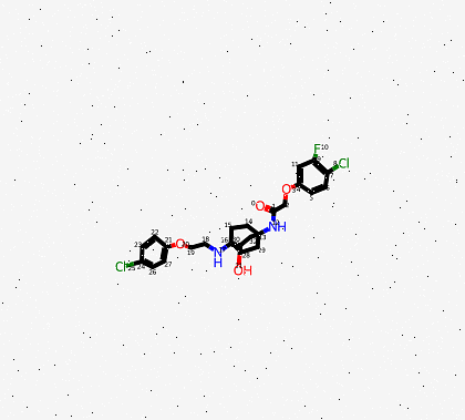 O=C(COc1ccc(Cl)c(F)c1)NC12CCC(NCCOc3ccc(Cl)cc3)(CC1)C(O)C2